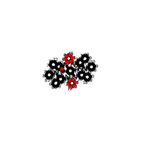 S=P12c3c4c5c6c(c3N(c3ccccc3)c3cc7ccccc7c(c31)N(c1ccccc1)c1c2c(cc2ccccc12)N4c1ccccc1)N(c1ccccc1)c1cc2ccccc2c2c1P6(=S)c1c(cc3ccccc3c1N2c1ccccc1)N5c1ccccc1